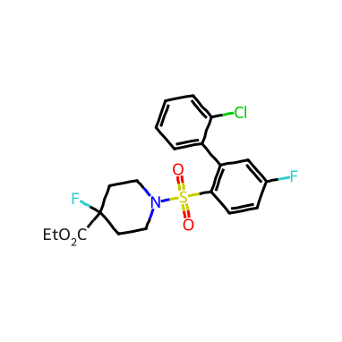 CCOC(=O)C1(F)CCN(S(=O)(=O)c2ccc(F)cc2-c2ccccc2Cl)CC1